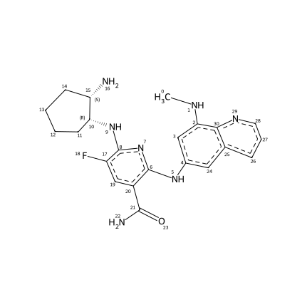 CNc1cc(Nc2nc(N[C@@H]3CCCC[C@@H]3N)c(F)cc2C(N)=O)cc2cccnc12